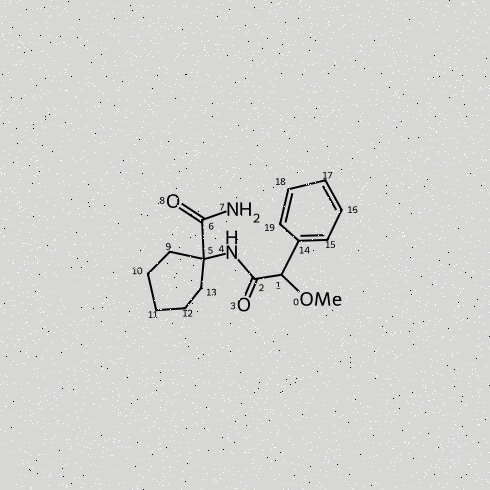 COC(C(=O)NC1(C(N)=O)CCCCC1)c1ccccc1